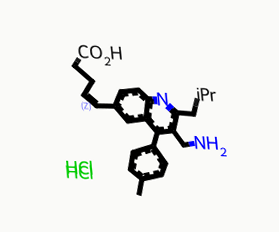 Cc1ccc(-c2c(CN)c(CC(C)C)nc3ccc(/C=C\CCC(=O)O)cc23)cc1.Cl.Cl